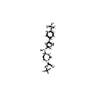 CC(C)(C)OC(=O)N1CCC(Nc2nc(-c3ccc(S(C)(=O)=O)cc3)no2)CC1